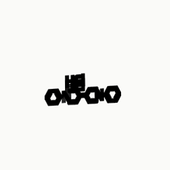 C1=CN(c2ccccc2)C=CC1=C1C=CN(c2ccccc2)C=C1.Cl.Cl